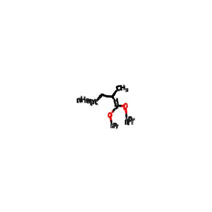 CCCCCCCCC(C)[SiH](OCCC)OCCC